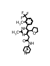 C/C(N)=N/C(CC(=O)NC12CCN(CC1)CC2)=C(\Cc1cccc(C(F)(F)F)c1C)C1CCCO1